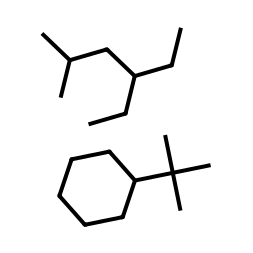 CC(C)(C)C1CCCCC1.CCC(CC)CC(C)C